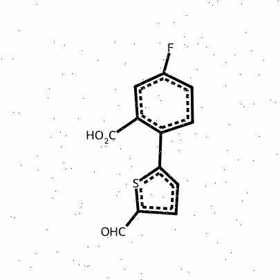 O=Cc1ccc(-c2ccc(F)cc2C(=O)O)s1